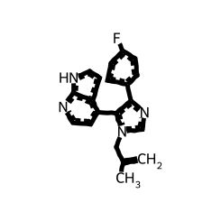 C=C(C)Cn1cnc(-c2ccc(F)cc2)c1-c1ccnc2[nH]ccc12